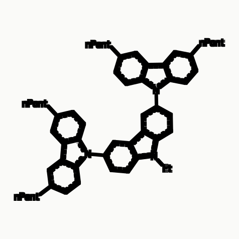 CCCCCc1ccc2c(c1)c1cc(CCCCC)ccc1n2-c1ccc2c(c1)c1cc(-n3c4ccc(CCCCC)cc4c4cc(CCCCC)ccc43)ccc1n2CC